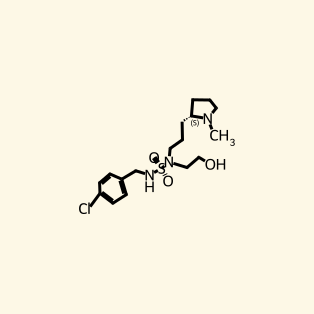 CN1CCC[C@H]1CCCN(CCO)S(=O)(=O)NCc1ccc(Cl)cc1